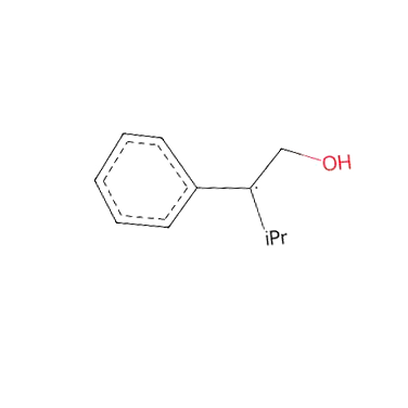 CC(C)[C](CO)c1ccccc1